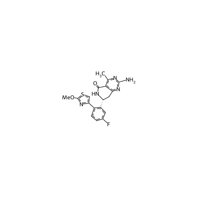 COc1nc(-c2ccc(F)cc2[C@H]2Cc3nc(N)nc(C)c3C(=O)N2)cs1